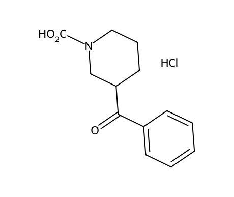 Cl.O=C(c1ccccc1)C1CCCN(C(=O)O)C1